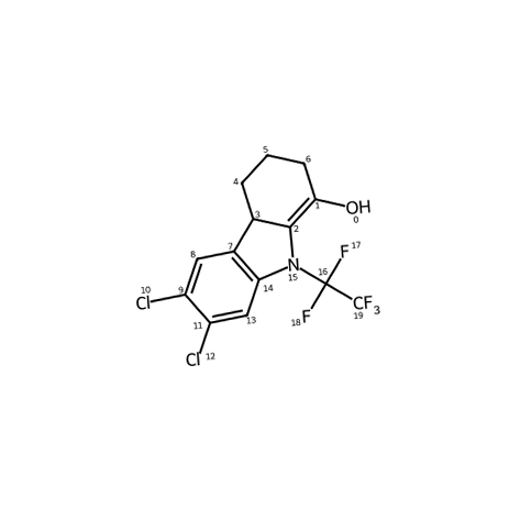 OC1=C2C(CCC1)c1cc(Cl)c(Cl)cc1N2C(F)(F)C(F)(F)F